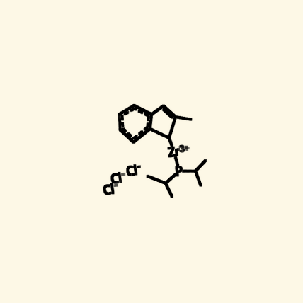 CC1=Cc2ccccc2[CH]1[Zr+3][P](C(C)C)C(C)C.[Cl-].[Cl-].[Cl-]